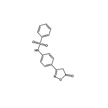 O=C1CC(c2ccc(NS(=O)(=O)c3ccccc3)cc2)=NO1